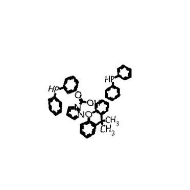 CC1(C)c2ccccc2Oc2ccccc21.O=C(O)n1cccn1.c1ccc(Pc2ccccc2)cc1.c1ccc(Pc2ccccc2)cc1